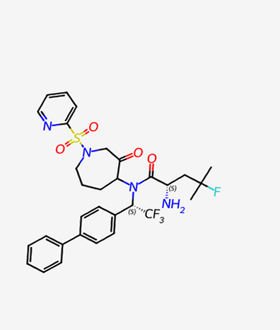 CC(C)(F)C[C@H](N)C(=O)N(C1CCCN(S(=O)(=O)c2ccccn2)CC1=O)[C@@H](c1ccc(-c2ccccc2)cc1)C(F)(F)F